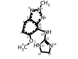 COc1ccc2nn(C)nc2c1NC1=NCCN1